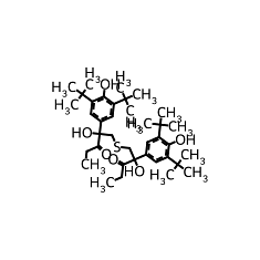 CCC(=O)C(O)(CSCC(O)(C(=O)CC)c1cc(C(C)(C)C)c(O)c(C(C)(C)C)c1)c1cc(C(C)(C)C)c(O)c(C(C)(C)C)c1